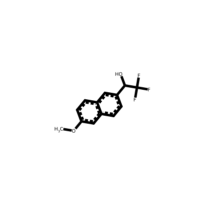 COc1ccc2cc(C(O)C(F)(F)F)ccc2c1